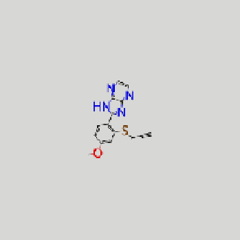 C#CCSc1cc(OC)ccc1-c1nc2nccnc2[nH]1